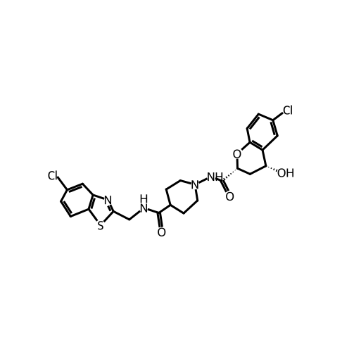 O=C(NCc1nc2cc(Cl)ccc2s1)C1CCN(NC(=O)[C@H]2C[C@@H](O)c3cc(Cl)ccc3O2)CC1